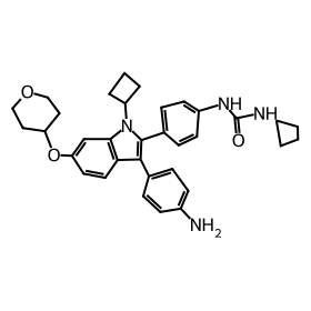 Nc1ccc(-c2c(-c3ccc(NC(=O)NC4CCC4)cc3)n(C3CCC3)c3cc(OC4CCOCC4)ccc23)cc1